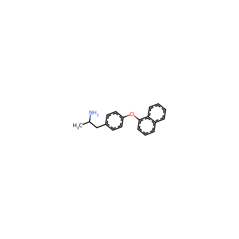 CC(N)Cc1ccc(Oc2cccc3ccccc23)cc1